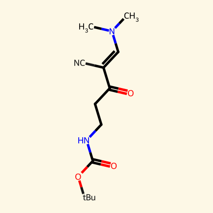 CN(C)/C=C(\C#N)C(=O)CCNC(=O)OC(C)(C)C